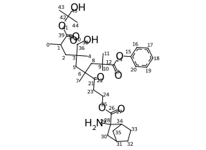 CC(CC(C)(CC(C)(CC(C)(C)C(=O)Oc1ccccc1)C(=O)CCOC(=O)C1(N)CC2CCC1C2)C(=O)O)C(=O)OC(C)(C)O